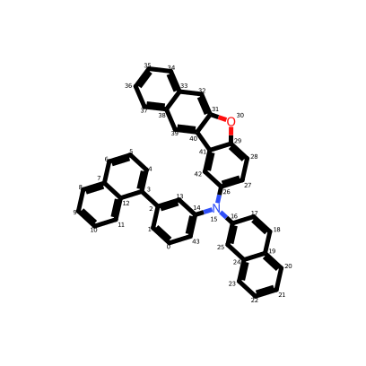 c1cc(-c2cccc3ccccc23)cc(N(c2ccc3ccccc3c2)c2ccc3oc4cc5ccccc5cc4c3c2)c1